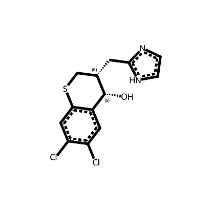 O[C@@H]1c2cc(Cl)c(Cl)cc2SC[C@@H]1Cc1ncc[nH]1